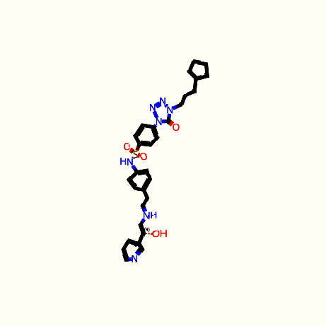 O=c1n(CCCC2CCCC2)nnn1-c1ccc(S(=O)(=O)Nc2ccc(CCNC[C@H](O)c3cccnc3)cc2)cc1